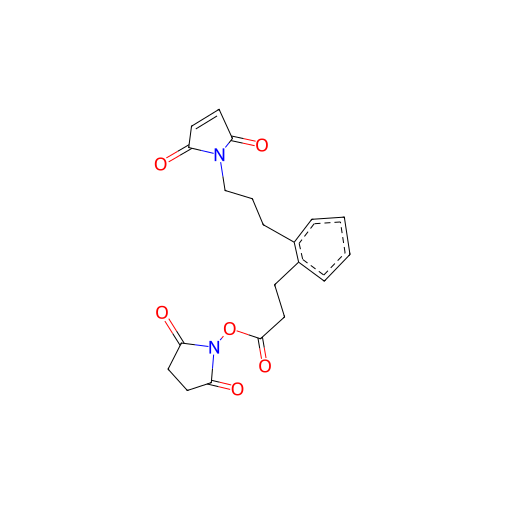 O=C(CCc1ccccc1CCCN1C(=O)C=CC1=O)ON1C(=O)CCC1=O